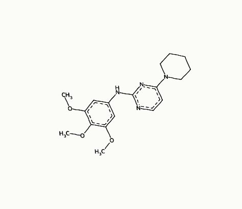 COc1cc(Nc2nccc(N3CCCCC3)n2)cc(OC)c1OC